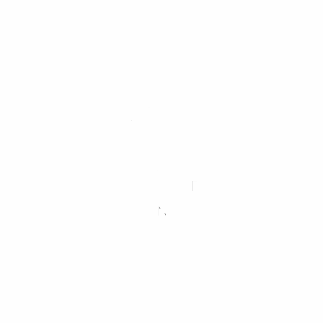 CC(c1cccnc1F)C1CC1